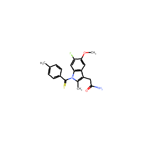 COc1cc2c(CC(N)=O)c(C)n(C(=S)c3ccc(C)cc3)c2cc1F